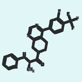 C[C@@H](Nc1ccccn1)C(=O)N1CCc2c(ncnc2-c2ccc(C(F)(F)F)c(F)c2)C1